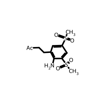 CC(=O)CCc1cc(S(C)(=O)=O)cc(S(C)(=O)=O)c1N